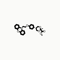 COC(=O)[C@]1(C)OC[C@H](c2ccc(OCCN3c4ccccc4Oc4ccccc43)cc2)CO1